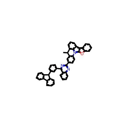 CC1c2cc(-c3nc(-c4cccc(C5c6ccccc6-c6ccccc65)c4)c4ccccc4n3)ccc2-n2c3oc4ccccc4c3c3cccc1c32